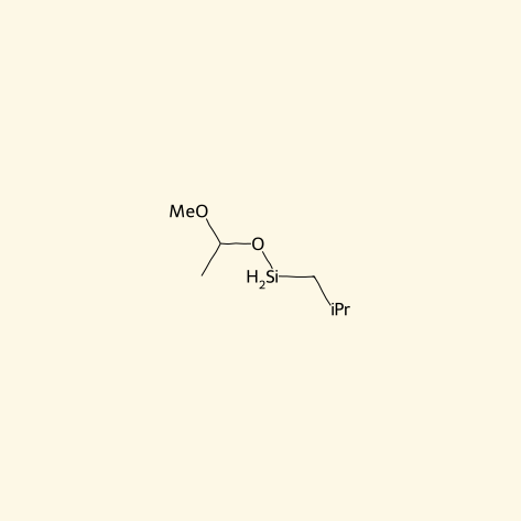 COC(C)O[SiH2]CC(C)C